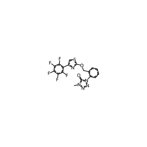 Cn1nnn(-c2ccccc2COc2nc(-c3c(F)c(F)c(F)c(F)c3F)cs2)c1=O